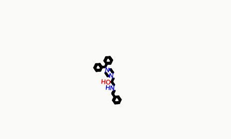 O[C@H](CN/C=C/c1ccccc1)CN1CCN(C(c2ccccc2)c2ccccc2)CC1